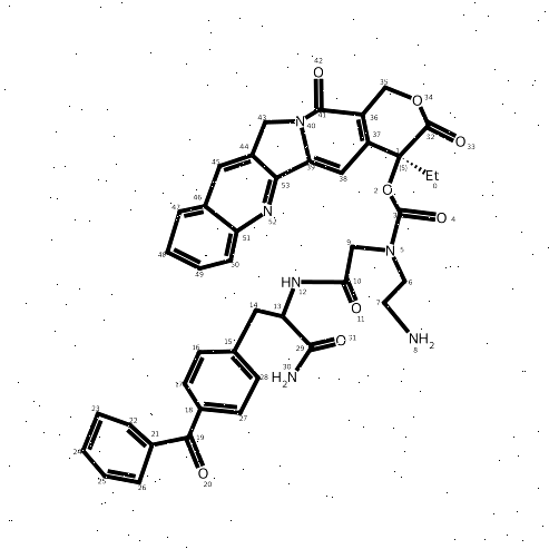 CC[C@@]1(OC(=O)N(CCN)CC(=O)NC(Cc2ccc(C(=O)c3ccccc3)cc2)C(N)=O)C(=O)OCc2c1cc1n(c2=O)Cc2cc3ccccc3nc2-1